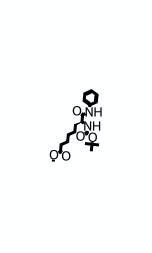 COC(=O)CCCCC[C@H](NC(=O)OC(C)(C)C)C(=O)Nc1ccccc1